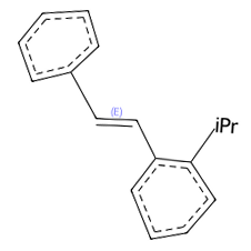 CC(C)c1ccccc1/C=C/c1ccccc1